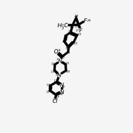 CC1(c2ccc(CC(=O)N3CCN(c4ccc(Cl)nn4)CC3)cc2)CC1(F)F